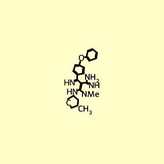 CN/C(NC1CCCC(C)C1)=C(\C(=N)N)C(=N)c1ccc(Oc2ccccc2)cc1